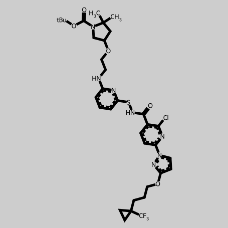 CC(C)(C)OC(=O)N1CC(OCCNc2cccc(SNC(=O)c3ccc(-n4ccc(OCCCC5(C(F)(F)F)CC5)n4)nc3Cl)n2)CC1(C)C